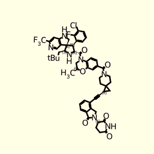 C[C@H]1CN(C(=O)[C@@H]2N[C@@H](CC(C)(C)C)[C@@]3(CNc4cc(C(F)(F)F)ncc43)[C@H]2c2cccc(Cl)c2F)c2ccc(C(=O)N3CCC4(CC3)C[C@H]4C#Cc3cccc4c3CN([C@H]3CCC(=O)NC3=O)C4=O)cc2O1